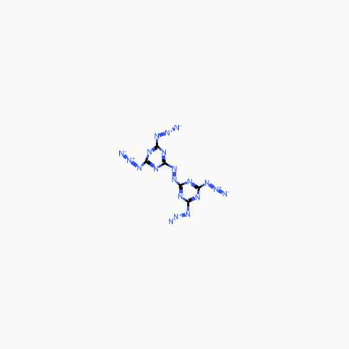 [N-]=[N+]=Nc1nc(N=Nc2nc(N=[N+]=[N-])nc(N=[N+]=[N-])n2)nc(N=[N+]=[N-])n1